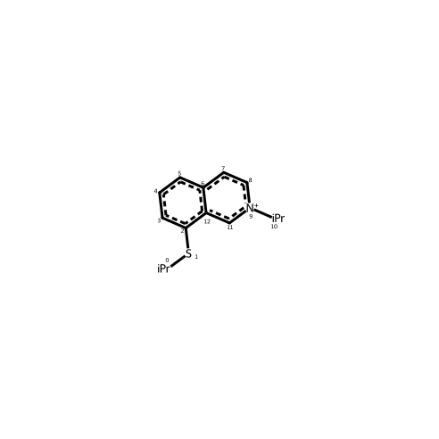 CC(C)Sc1cccc2cc[n+](C(C)C)cc12